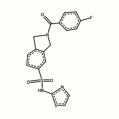 O=C(c1ccc(F)cc1)N1Cc2ccc(S(=O)(=O)Nc3nccs3)cc2C1